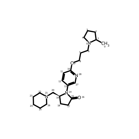 CC1CCCN1CCCOc1ccc(N2C(=O)CC[C@H]2CN2CCCCC2)cn1